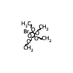 C=CCOC[C@H]1O[C@H](Br)[C@H](OCC=C)[C@@H](OCC=C)[C@@H]1OCC=C